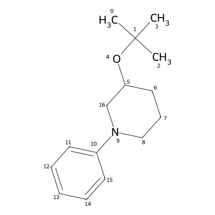 CC(C)(C)OC1CCCN(c2ccccc2)C1